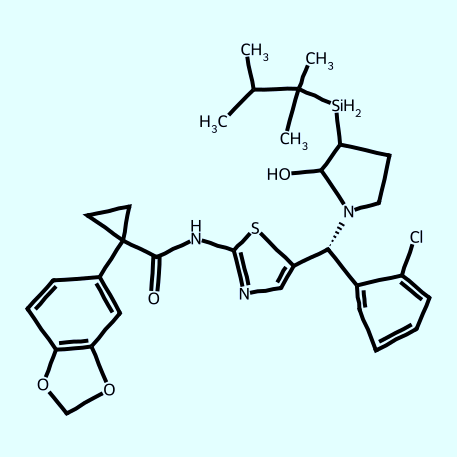 CC(C)C(C)(C)[SiH2]C1CCN([C@@H](c2cnc(NC(=O)C3(c4ccc5c(c4)OCO5)CC3)s2)c2ccccc2Cl)C1O